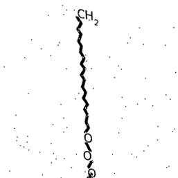 C#COCCOCCOCCCCCCCCCCCCCCCCCCCCC=C